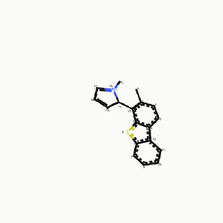 Cc1ccc2c(sc3ccccc32)c1C1C=CC=[N+]1C